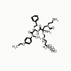 CCOc1ccc(N(C)C(=O)[C@H](CCc2ccccc2)NC(=O)[C@@](N)(CCNCCN)CN(C=O)CCN)cc1.Cl.Cl.Cl.Cl